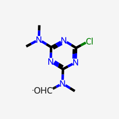 CN(C)c1nc(Cl)nc(N(C)[C]=O)n1